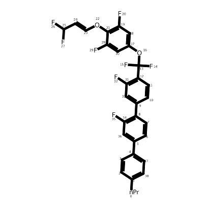 CCCc1ccc(-c2ccc(-c3ccc(C(F)(F)Oc4cc(F)c(O/C=C/C(F)F)c(F)c4)c(F)c3)c(F)c2)cc1